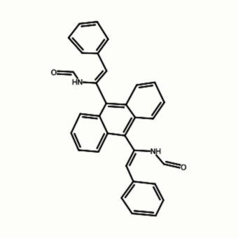 O=CNC(=Cc1ccccc1)c1c2ccccc2c(C(=Cc2ccccc2)NC=O)c2ccccc12